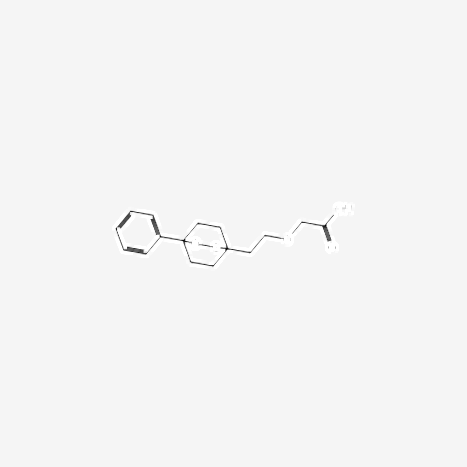 O=C(O)COCCC12CCC(c3ccccc3)(CC1)OC2